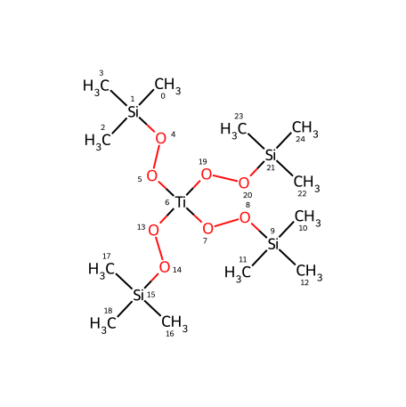 C[Si](C)(C)O[O][Ti]([O]O[Si](C)(C)C)([O]O[Si](C)(C)C)[O]O[Si](C)(C)C